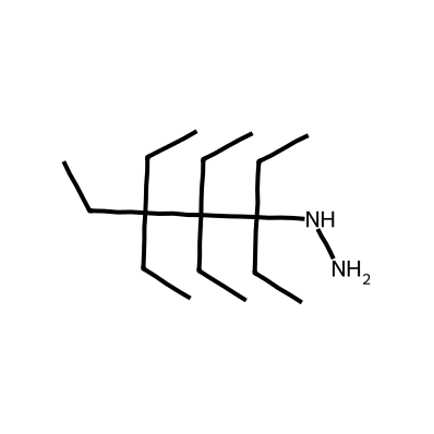 CCC(CC)(CC)C(CC)(CC)C(CC)(CC)NN